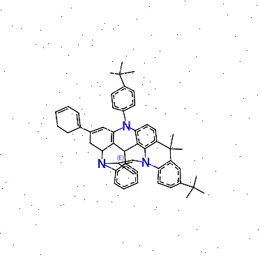 C/C1=C\N2c3ccc(C(C)(C)C)cc3C(C)(C)c3ccc4c(c32)C2C3=C(C=C(C5=CC=CCC5)CC3N1c1ccccc12)N4c1ccc(C(C)(C)C)cc1